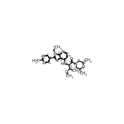 CCn1c(-c2cnc(C)nc2)nc2c(NC(C(=O)N3C[C@@H](C)O[C@@H](C)C3)C(C)OC)ccnc21